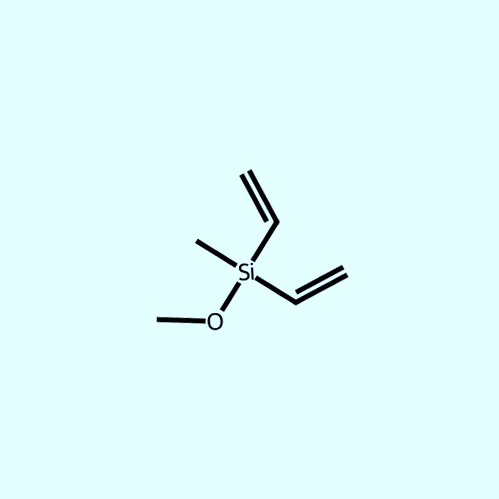 C=C[Si](C)(C=C)OC